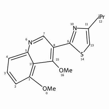 COc1cccc2n[c]c(-c3nc(C(C)C)cs3)c(OC)c12